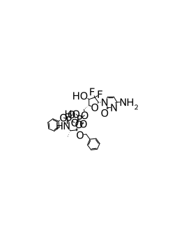 C[C@H](NP(=O)(Oc1ccccc1)OP(=O)(O)OC[C@H]1O[C@@H](n2ccc(N)nc2=O)C(F)(F)C1O)C(=O)OCc1ccccc1